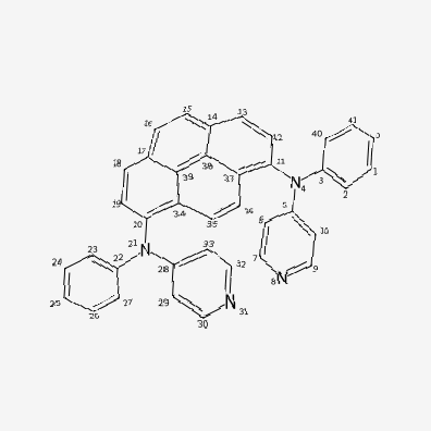 c1ccc(N(c2ccncc2)c2ccc3ccc4ccc(N(c5ccccc5)c5ccncc5)c5ccc2c3c45)cc1